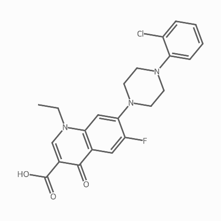 CCn1cc(C(=O)O)c(=O)c2cc(F)c(N3CCN(c4ccccc4Cl)CC3)cc21